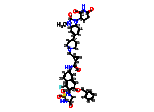 Cn1c(=O)n(C2CCC(=O)NC2=O)c2ccc(C3CCN(CC4CC4C(=O)Nc4ccc5c(F)c(N6CC(=O)NS6(=O)=O)c(OCc6ccccc6)cc5c4)CC3)cc21